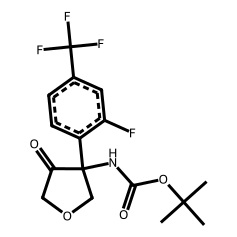 CC(C)(C)OC(=O)NC1(c2ccc(C(F)(F)F)cc2F)COCC1=O